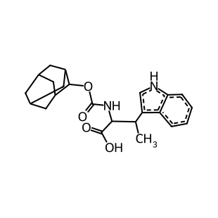 CC(c1c[nH]c2ccccc12)C(NC(=O)OC1C2CC3CC(C2)CC1C3)C(=O)O